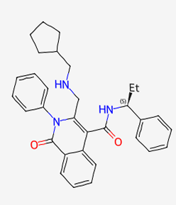 CC[C@H](NC(=O)c1c(CNCC2CCCC2)n(-c2ccccc2)c(=O)c2ccccc12)c1ccccc1